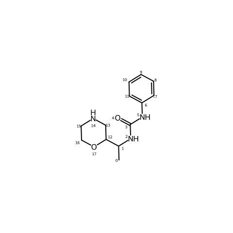 CC(NC(=O)Nc1[c]cccc1)C1CNCCO1